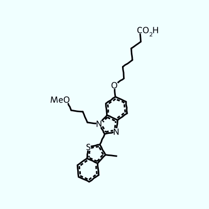 COCCCn1c(-c2sc3ccccc3c2C)nc2ccc(OCCCCCC(=O)O)cc21